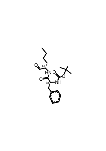 CCCC[C@@H]([C]=O)NC(=O)[C@H](Cc1ccccc1)NC(=O)OC(C)(C)C